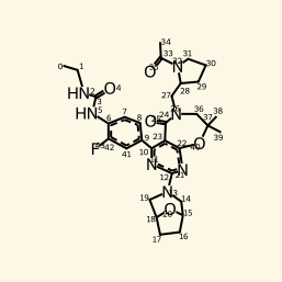 CCNC(=O)Nc1ccc(-c2nc(N3CC4CCC(C3)O4)nc3c2C(=O)N(CC2CCCN2C(C)=O)CC(C)(C)O3)cc1F